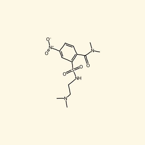 CN(C)CCNS(=O)(=O)c1cc([N+](=O)[O-])ccc1C(=O)N(C)C